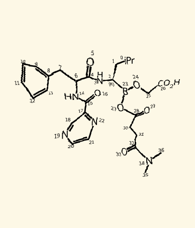 CC(C)C[C@H](NC(=O)C(Cc1ccccc1)NC(=O)c1cnccn1)B(OCC(=O)O)OC(=O)CCC(=O)N(C)C